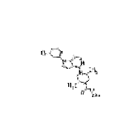 C[C@@H]1CN(c2ncnc3c2c(I)cn3-c2cccc(Cl)c2)[C@@H](C)CN1C(=O)OC(C)(C)C